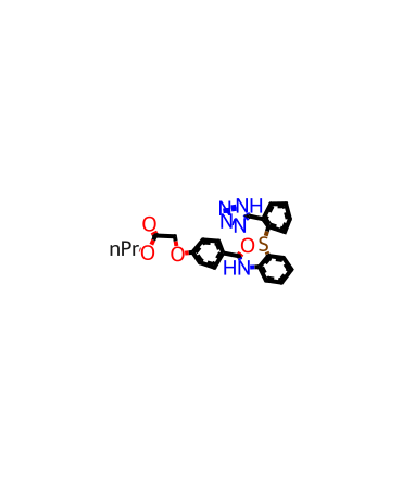 CCCOC(=O)COc1ccc(C(=O)Nc2ccccc2Sc2ccccc2-c2nnn[nH]2)cc1